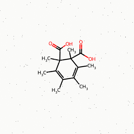 CC1=C(C)C(C)(C(=O)O)C(C)(C(=O)O)C(C)=C1C